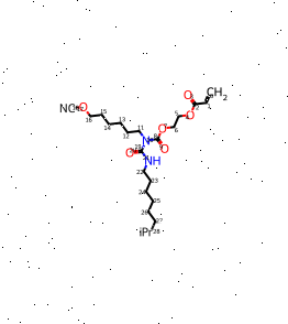 C=CC(=O)OCCOC(=O)N(CCCCCCOC#N)C(=O)NCCCCCCC(C)C